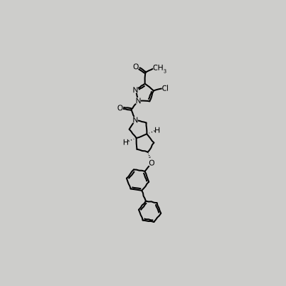 CC(=O)c1nn(C(=O)N2C[C@H]3C[C@H](Oc4cccc(-c5ccccc5)c4)C[C@H]3C2)cc1Cl